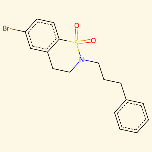 O=S1(=O)c2ccc(Br)cc2CCN1CCCc1ccccc1